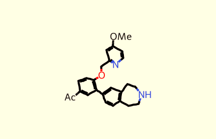 COc1ccnc(COc2ccc(C(C)=O)cc2-c2ccc3c(c2)CCNCC3)c1